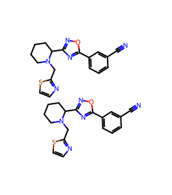 N#Cc1cccc(-c2nc(C3CCCCN3Cc3nccs3)no2)c1.N#Cc1cccc(-c2nc(C3CCCCN3Cc3nccs3)no2)c1